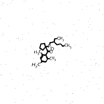 CCCCC(CC)C[P](=O)C1(C(=O)c2c(C)cc(C)cc2C)CCCC1